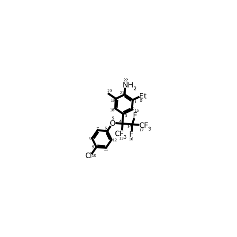 CCc1cc(C(Oc2ccc(Cl)cc2)(C(F)(F)F)C(F)(F)C(F)(F)F)cc(C)c1N